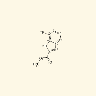 COC(=O)c1nc2cccc(F)c2o1